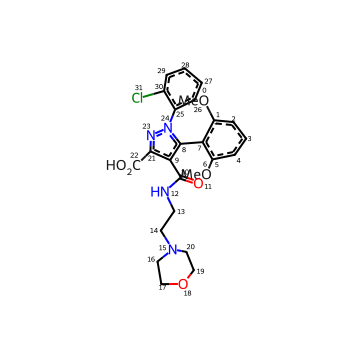 COc1cccc(OC)c1-c1c(C(=O)NCCN2CCOCC2)c(C(=O)O)nn1-c1ccccc1Cl